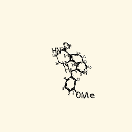 COc1cccc(Cc2cncc3ccc4c(c23)NCCNC4=O)c1